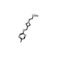 COCCN1CC(COc2cnc(C)cn2)C1